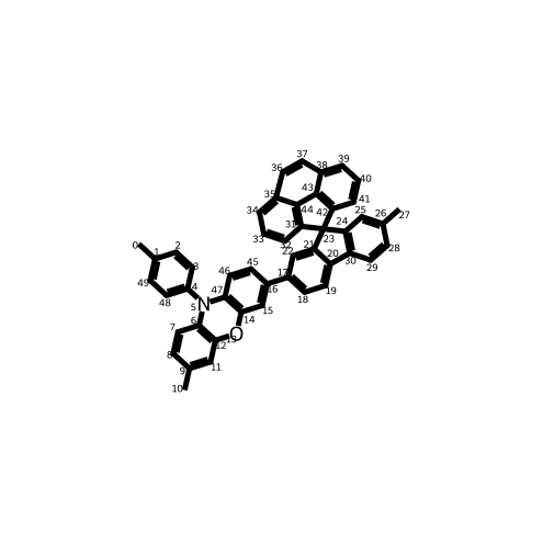 Cc1ccc(N2c3ccc(C)cc3Oc3cc(-c4ccc5c(c4)C4(c6cc(C)ccc6-5)c5cccc6ccc7cccc4c7c56)ccc32)cc1